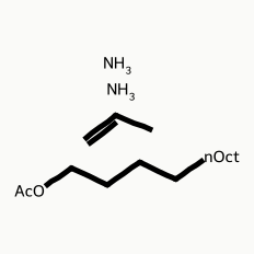 C=CC.CCCCCCCCCCCCOC(C)=O.N.N